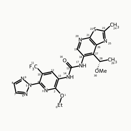 CCOc1nc(-n2nccn2)c(C(F)(F)F)cc1NC(=O)Nc1cnc2sc(C)nc2c1[C@H](C)OC